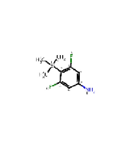 C[Si](C)(C)c1c(F)cc(N)cc1F